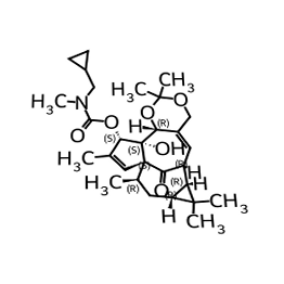 CC1=C[C@]23C(=O)[C@@H](C=C4COC(C)(C)O[C@H]4[C@]2(O)[C@H]1OC(=O)N(C)CC1CC1)[C@H]1[C@@H](C[C@H]3C)C1(C)C